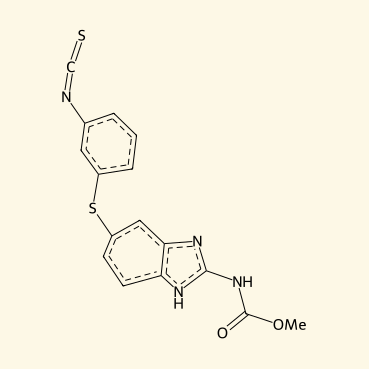 COC(=O)Nc1nc2cc(Sc3cccc(N=C=S)c3)ccc2[nH]1